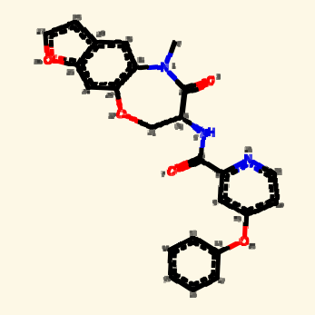 CN1C(=O)[C@@H](NC(=O)c2cc(Oc3ccccc3)ccn2)COc2cc3occc3cc21